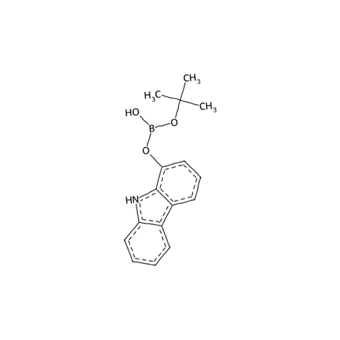 CC(C)(C)OB(O)Oc1cccc2c1[nH]c1ccccc12